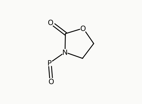 O=PN1CCOC1=O